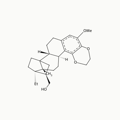 CC[C@@]12CCC3(C[C@H]1CO)[C@@H]1CCc4cc(OC)c5c(c4[C@H]1CC[C@@]32C)OCCO5